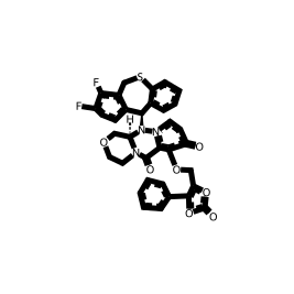 O=C1c2c(OCc3oc(=O)oc3-c3ccccc3)c(=O)ccn2N([C@@H]2c3ccccc3SCc3c2ccc(F)c3F)[C@@H]2COCCN12